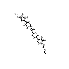 CCCCOc1ccc(C2CCC(OC(=O)c3ccc(C4C=C(OCC)C(F)=C4F)c(F)c3)CC2)c(F)c1F